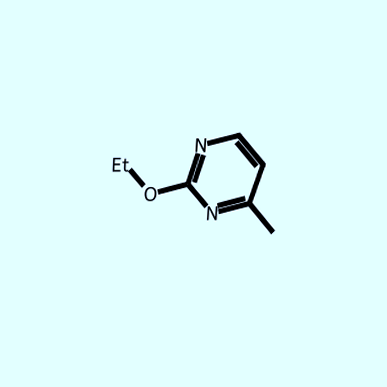 CCOc1nccc(C)n1